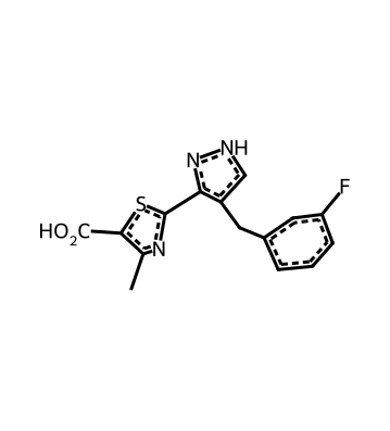 Cc1nc(-c2n[nH]cc2Cc2cccc(F)c2)sc1C(=O)O